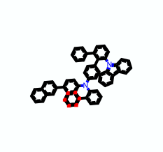 c1ccc(-c2ccccc2N(c2ccc(-c3c(-c4ccccc4)cccc3-n3c4ccccc4c4ccccc43)cc2)c2ccc(-c3ccc4ccccc4c3)c3ccccc23)cc1